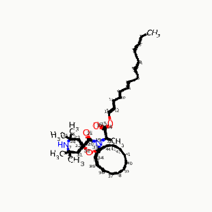 CCCCCCCCCCCCCCOC(=O)C(C)N1C(=O)C2(CC(C)(C)NC(C)(C)C2)OC12CCCCCCCCCCC2